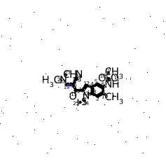 Cc1cc2c(cc1NS(C)(=O)=O)cc(C(=O)/C(C#N)=C/N(C)C)n2SI